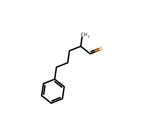 CC(C=S)CCCc1ccccc1